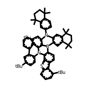 CC(C)(C)c1ccc(N2c3cc(C(C)(C)C)cc4c3B(c3cc5c(cc3N4c3ccc4c(c3)C(C)(C)CCC4(C)C)C(C)(C)CCC5(C)C)c3ccc4c(sc5cccc(C(C)(C)C)c54)c32)c(-c2ccccc2)c1